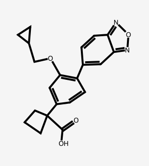 O=C(O)C1(c2ccc(-c3ccc4nonc4c3)c(OCC3CC3)c2)CCC1